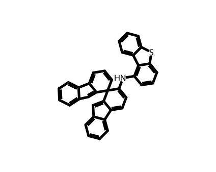 C1=CC2(C(Nc3cccc4sc5ccccc5c34)=CC=C3C2=Cc2ccccc23)C2=Cc3ccccc3C2=C1